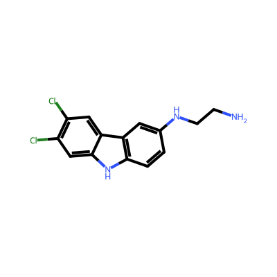 NCCNc1ccc2[nH]c3cc(Cl)c(Cl)cc3c2c1